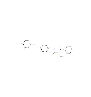 O=C(Nc1ccc(CCc2ccc(Cl)cc2)cc1)C1CSc2ccccc2C1=O